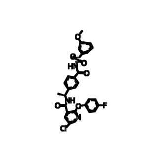 COc1cccc(S(=O)(=O)NC(=O)c2ccc([C@H](C)NC(=O)c3cc(Cl)cnc3Oc3ccc(F)cc3)cc2)c1